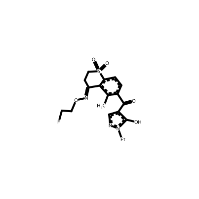 CCn1ncc(C(=O)c2ccc3c(c2C)C(=NOCCF)CCS3(=O)=O)c1O